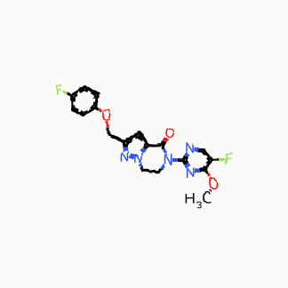 COc1nc(N2CCn3nc(COc4ccc(F)cc4)cc3C2=O)ncc1F